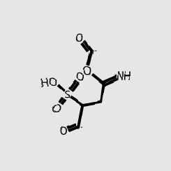 N=C(CC([C]=O)S(=O)(=O)O)O[C]=O